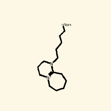 CCCCCCCCCCCCCCN1CCC[N+]2=C1CCCCC2